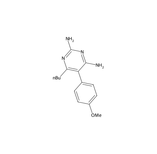 CCCCc1nc(N)nc(N)c1-c1ccc(OC)cc1